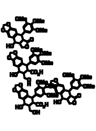 COc1cc(C2c3cc4c(cc3C(O)C(CO)C2C(=O)O)OCO4)cc(OC)c1OC.COc1cc(C2c3cc4c(cc3C(O)C(CO)C2C(=O)O)OCO4)cc(OC)c1OC.COc1cc(C2c3cc4c(cc3C(O)C3COC(=O)C23)OCO4)cc(OC)c1OC.COc1cc(C2c3cc4c(cc3C(O)C3COC(=O)C23)OCO4)cc(OC)c1OC